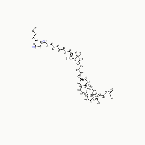 CCCCC/C=C\C/C=C\CCCCCCCCOCC(C)(CO)COCCCO[C@H]1CC[C@@]2(C)C(=CCC3C4CCC([C@H](C)CCCC(C)C)[C@@]4(C)CCC32)C1